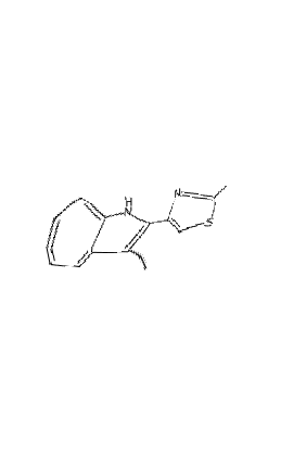 Cc1nc(-c2[nH]c3ccccc3c2C)cs1